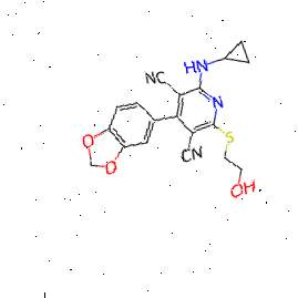 N#Cc1c(NC2CC2)nc(SCCO)c(C#N)c1-c1ccc2c(c1)OCO2